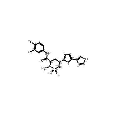 CN1[C@@H](C(=O)Nc2ccc(F)c(Cl)c2)C[C@@H](c2ncc(-c3c[nH]cn3)s2)NS1(=O)=O